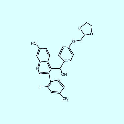 Oc1ccc2c([C@H](O)c3ccc(OCC4OCCO4)cc3)c(-c3ccc(C(F)(F)F)cc3F)cnc2c1